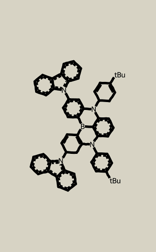 CC(C)(C)C1=CCC(N2c3cc(-n4c5ccccc5c5ccccc54)ccc3B3C4=C(CC(n5c6ccccc6c6ccccc65)C=C4)N(c4ccc(C(C)(C)C)cc4)c4cccc2c43)C=C1